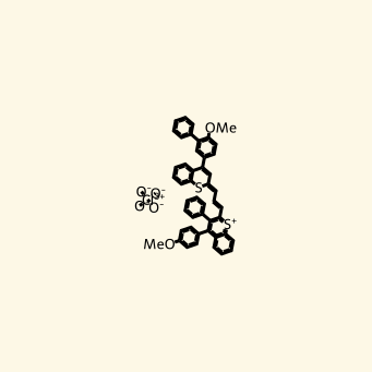 COc1ccc(-c2c(-c3ccccc3)c(C=CC=C3C=C(c4ccc(OC)c(-c5ccccc5)c4)c4ccccc4S3)[s+]c3ccccc23)cc1.[O-][Cl+3]([O-])([O-])[O-]